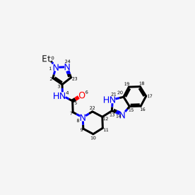 CCn1cc(NC(=O)CN2CCCC(c3nc4ccccc4[nH]3)C2)cn1